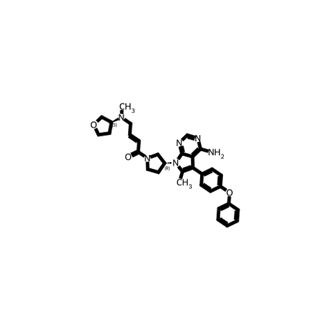 Cc1c(-c2ccc(Oc3ccccc3)cc2)c2c(N)ncnc2n1[C@@H]1CCN(C(=O)C=CCN(C)[C@H]2CCOC2)C1